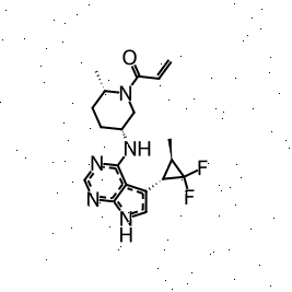 C=CC(=O)N1C[C@H](Nc2ncnc3[nH]cc([C@@H]4[C@@H](C)C4(F)F)c23)CC[C@@H]1C